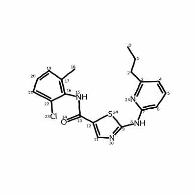 CCCc1cccc(Nc2ncc(C(=O)Nc3c(C)cccc3Cl)s2)n1